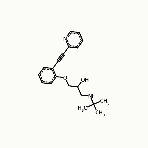 CC(C)(C)NCC(O)COc1ccccc1C#Cc1ccccn1